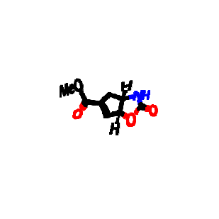 COC(=O)C1=C[C@@H]2OC(=O)N[C@H]2C1